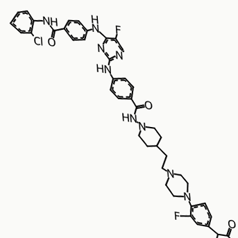 O=C1CCC(c2ccc(N3CCN(CCC4CCN(NC(=O)c5ccc(Nc6ncc(F)c(Nc7ccc(C(=O)Nc8ccccc8Cl)cc7)n6)cc5)CC4)CC3)c(F)c2)C(=O)N1